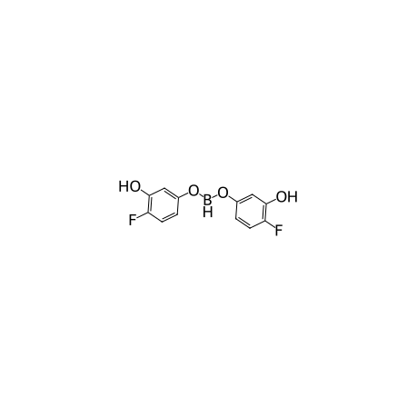 Oc1cc(OBOc2ccc(F)c(O)c2)ccc1F